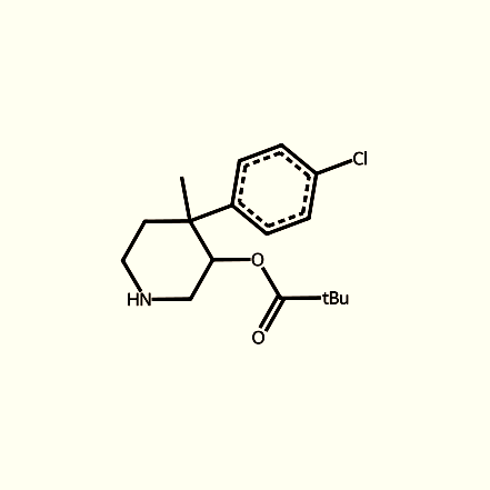 CC(C)(C)C(=O)OC1CNCCC1(C)c1ccc(Cl)cc1